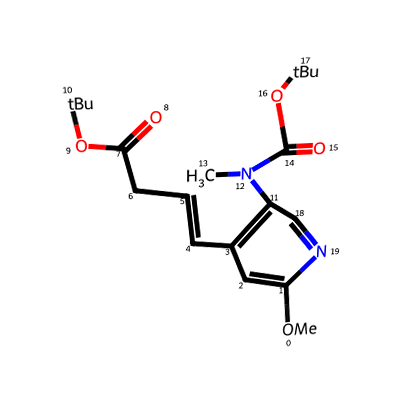 COc1cc(/C=C/CC(=O)OC(C)(C)C)c(N(C)C(=O)OC(C)(C)C)cn1